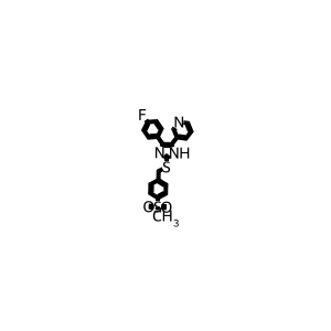 CS(=O)(=O)c1ccc(CSc2nc(-c3ccc(F)cc3)c(-c3cccnc3)[nH]2)cc1